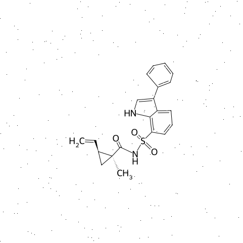 C=C[C@@H]1C[C@]1(C)C(=O)NS(=O)(=O)c1cccc2c(-c3ccccc3)c[nH]c12